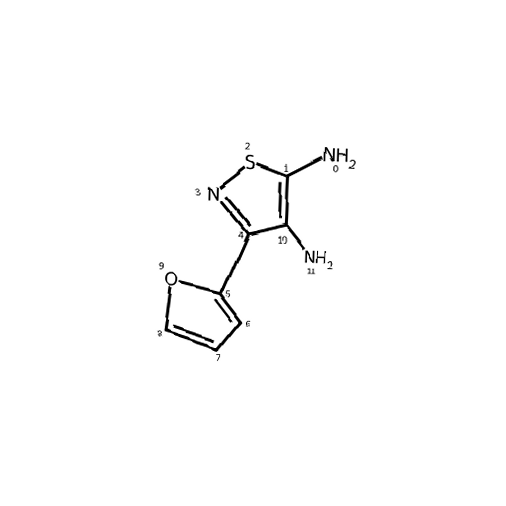 Nc1snc(-c2ccco2)c1N